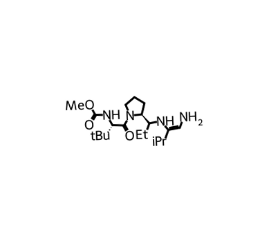 CCC(N/C(=C\N)C(C)C)[C@@H]1CCCN1C(=O)[C@@H](NC(=O)OC)C(C)(C)C